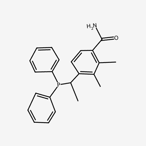 Cc1c(C(N)=O)ccc(C(C)P(c2ccccc2)c2ccccc2)c1C